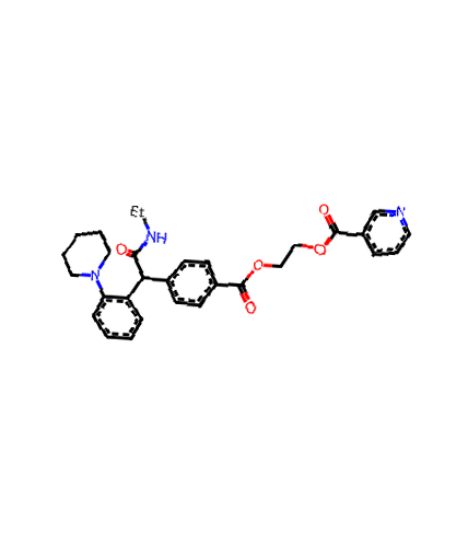 CCNC(=O)C(c1ccc(C(=O)OCCOC(=O)c2cccnc2)cc1)c1ccccc1N1CCCCC1